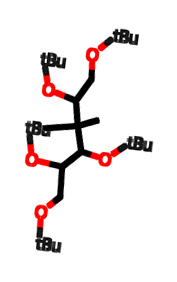 CC(C)(C)OCC(OC(C)(C)C)C(OC(C)(C)C)C(C)(C)C(COC(C)(C)C)OC(C)(C)C